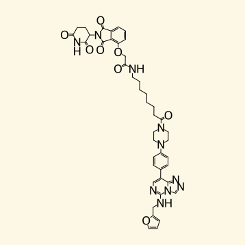 O=C(COc1cccc2c1C(=O)N(C1CCC(=O)NC1=O)C2=O)NCCCCCCCC(=O)N1CCN(c2ccc(-c3cnc(NCc4ccco4)n4cnnc34)cc2)CC1